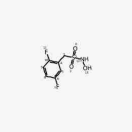 O=S(=O)(Cc1cc(F)ccc1F)NO